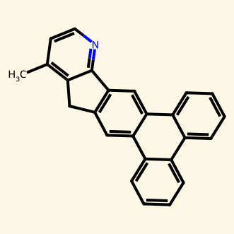 Cc1ccnc2c1Cc1cc3c4ccccc4c4ccccc4c3cc1-2